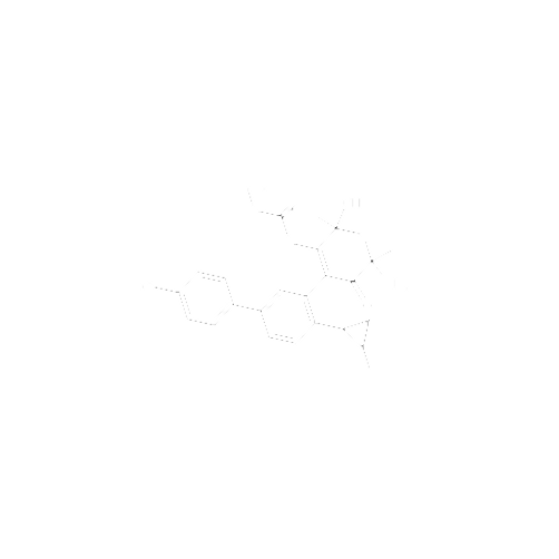 COC(=O)OC1=C(c2cc(-c3ccc(Cl)cc3)ccc2C2CC2Cl)C(=O)C(C)(C)OC1(C)C